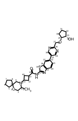 CC1COC2(CCCC2)CN1C1CC(C(=O)Nc2nc3ccc(-c4cnc(CO[C@H]5CCC[C@@H]5O)nc4)cc3s2)C1